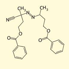 CC(CCOC(=O)c1ccccc1)N=NC(C)(C#N)CCOC(=O)c1ccccc1